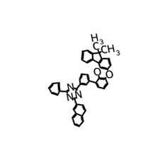 CC1(C)c2ccccc2-c2c1ccc1c2Oc2c(cccc2-c2cccc(-c3nc(-c4ccccc4)nc(-c4ccc5ccccc5c4)n3)c2)O1